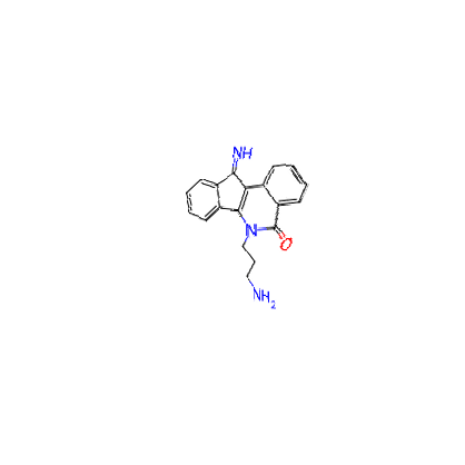 N=C1c2ccccc2-c2c1c1ccccc1c(=O)n2CCCN